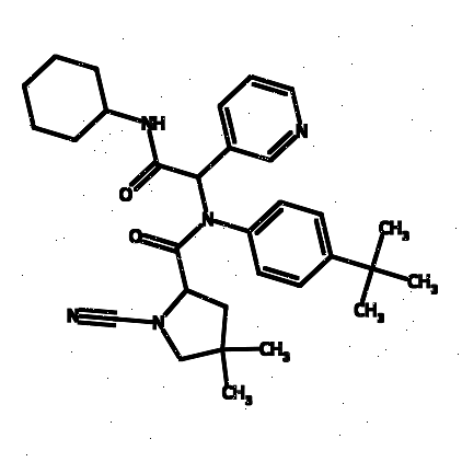 CC1(C)CC(C(=O)N(c2ccc(C(C)(C)C)cc2)C(C(=O)NC2CCCCC2)c2cccnc2)N(C#N)C1